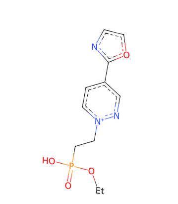 CCOP(=O)(O)CC[n+]1ccc(-c2ncco2)cn1